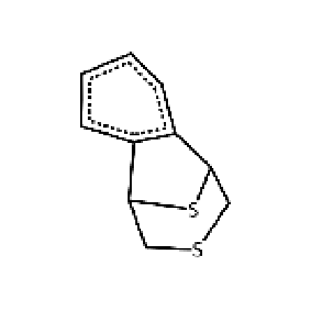 c1ccc2c(c1)C1CSCC2S1